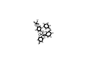 Cc1ccc(S(=O)(=O)Oc2ccc(OC(C)(C)C)cc2)cc1.c1ccc(Sc2ccccc2)cc1